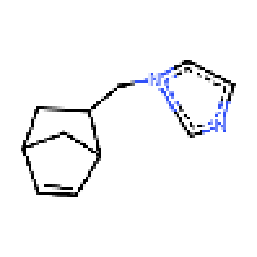 C1=CC2CC1CC2Cn1ccnc1